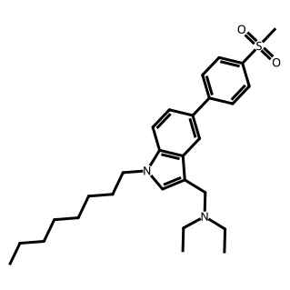 CCCCCCCCn1cc(CN(CC)CC)c2cc(-c3ccc(S(C)(=O)=O)cc3)ccc21